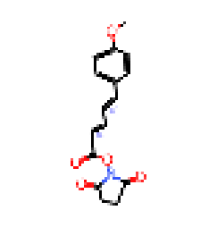 COc1ccc(/C=C/C=C/C(=O)ON2C(=O)CCC2=O)cc1